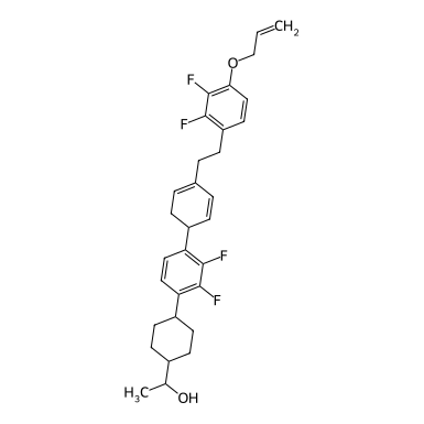 C=CCOc1ccc(CCC2=CCC(c3ccc(C4CCC(C(C)O)CC4)c(F)c3F)C=C2)c(F)c1F